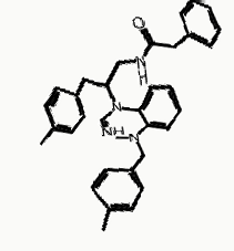 Cc1ccc(CC(CNC(=O)Cc2ccccc2)N(C=N)c2ccccc2N(C)Cc2ccc(C)cc2)cc1